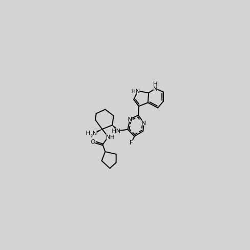 N[C@@]1(NC(=O)C2CCCC2)CCCC[C@H]1Nc1nc(C2=CNC3NC=CC=C23)ncc1F